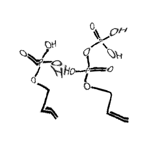 C=CCOP(=O)(O)O.C=CCOP(=O)(O)OP(=O)(O)O